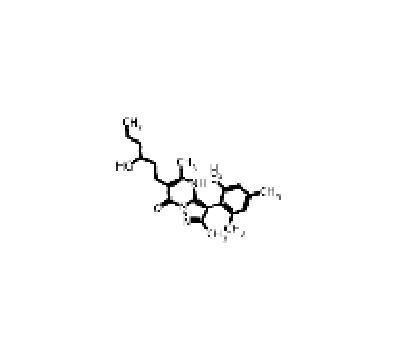 CCCC(O)CCc1c(C)[nH]c2c(-c3c(C)cc(C)cc3C)c(C)nn2c1=O